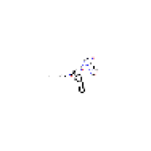 CC1COCCN1C[C@H]1CN(C(=O)OC(C)(C)C)[C@H](C)CN1CC(=O)N1CC(C)(C(=O)NCCCC(=O)O)c2ccc(Cc3ccc(F)cc3)cc21